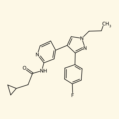 CCCn1cc(-c2ccnc(NC(=O)CC3CC3)c2)c(-c2ccc(F)cc2)n1